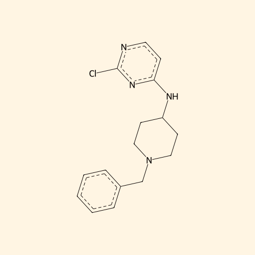 Clc1nccc(NC2CCN(Cc3ccccc3)CC2)n1